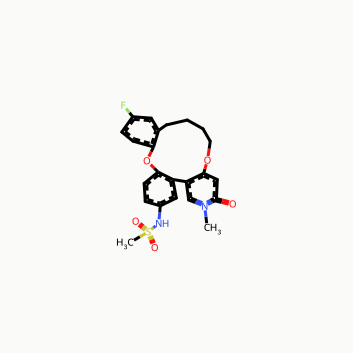 Cn1cc2c(cc1=O)OCCCCc1cc(F)ccc1Oc1ccc(NS(C)(=O)=O)cc1-2